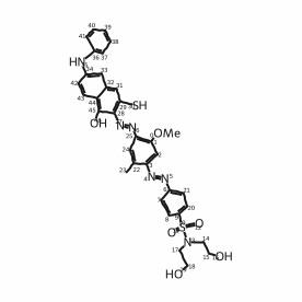 COc1cc(/N=N/c2ccc(S(=O)(=O)N(CCO)CCO)cc2)c(C)cc1/N=N/c1c(S)cc2cc(Nc3ccccc3)ccc2c1O